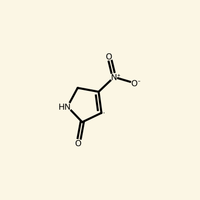 O=C1[C]=C([N+](=O)[O-])CN1